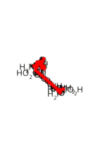 CC(C)(C)[C@H](c1cc(-c2cc(F)ccc2F)cn1Cc1ccccc1)N(CCCN)C(=O)CSC[C@H](NC(=O)CCOCCOCCOCCOCCNC(=O)CNC(=O)CC(SC[C@H](N)C(=O)O)C(=O)P)C(=O)O